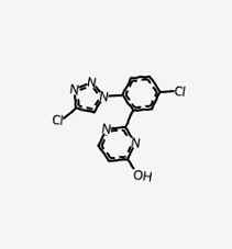 Oc1ccnc(-c2cc(Cl)ccc2-n2cc(Cl)nn2)n1